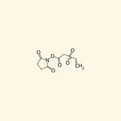 C=CS(=O)(=O)CC(=O)ON1C(=O)CCC1=O